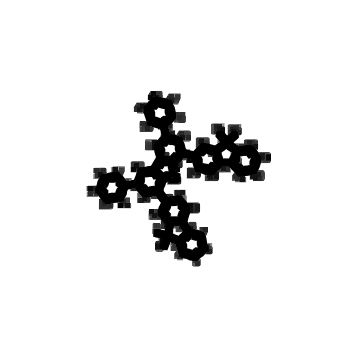 CC1(C)c2ccccc2-c2ccc(-c3cc(-c4ccccc4)cc4c3sc3c(-c5ccc6c(c5)C(C)(C)c5ccccc5-6)cc(-c5ccccc5)cc34)cc21